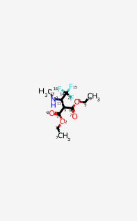 CCOC(=O)C(C(=O)OCC)C(NC)C(F)(F)F